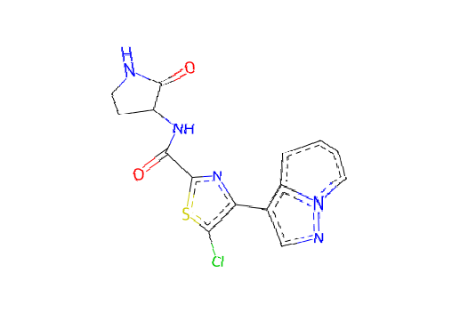 O=C(NC1CCNC1=O)c1nc(-c2cnn3ccccc23)c(Cl)s1